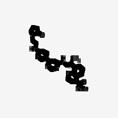 CNC(=O)c1ccnc2c([C@H](C)CNc3cc(-c4ccc(NCCN5CCCC5=O)nc4)ncn3)cccc12